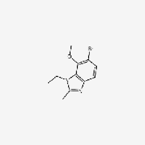 CCn1c(C)nc2ccc(Br)c(OC)c21